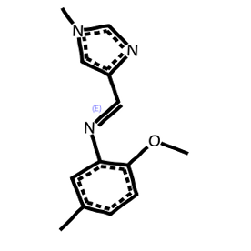 COc1ccc(C)cc1/N=C/c1cn(C)cn1